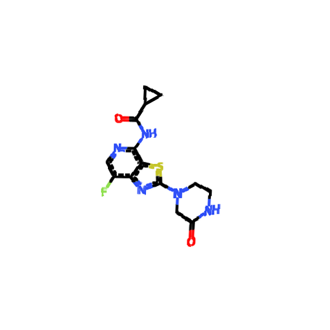 O=C1CN(c2nc3c(F)cnc(NC(=O)C4CC4)c3s2)CCN1